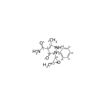 CC1=C(C(N)=O)C(=O)[N+](c2ccccc2)(C2OC2C)N1